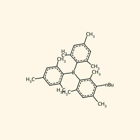 CCCCc1c(C)cc(C)c(B(c2c(C)cc(C)cc2C)c2c(C)cc(C)cc2C)c1C